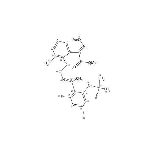 CO/N=C(/C(=O)OC)c1cccc(C)c1CO/N=C(\C)c1c(F)cc(F)cc1OC(C)(F)P